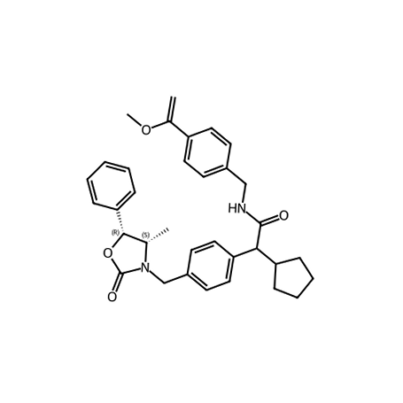 C=C(OC)c1ccc(CNC(=O)C(c2ccc(CN3C(=O)O[C@H](c4ccccc4)[C@@H]3C)cc2)C2CCCC2)cc1